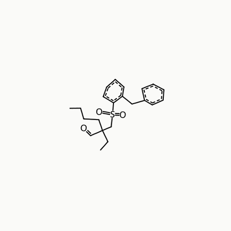 CCCCC(C=O)(CC)CS(=O)(=O)c1ccccc1Cc1ccccc1